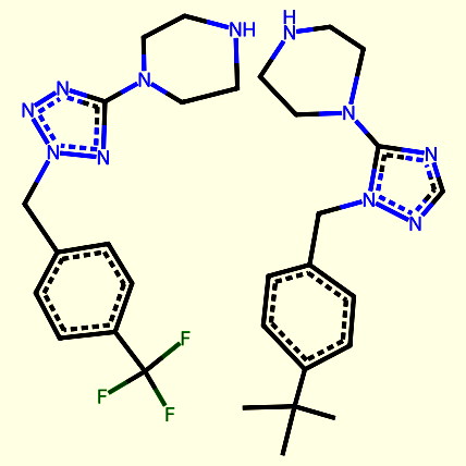 CC(C)(C)c1ccc(Cn2ncnc2N2CCNCC2)cc1.FC(F)(F)c1ccc(Cn2nnc(N3CCNCC3)n2)cc1